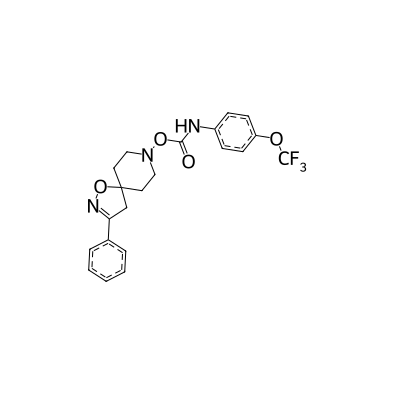 O=C(Nc1ccc(OC(F)(F)F)cc1)ON1CCC2(CC1)CC(c1ccccc1)=NO2